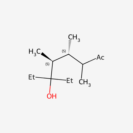 CCC(O)(CC)[C@@H](C)[C@H](C)C(C)C(C)=O